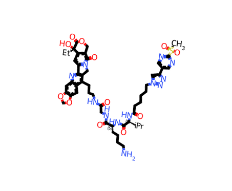 CC[C@@]1(O)C(=O)OCc2c1cc1n(c2=O)Cc2c-1nc1cc3c(cc1c2CCCNC(=O)CNC(=O)[C@H](CCCCN)NC(=O)[C@@H](NC(=O)CCCCCn1cc(-c2cnc(S(C)(=O)=O)nc2)nn1)C(C)C)OCO3